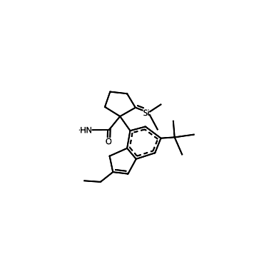 CCC1=Cc2cc(C(C)(C)C)cc(C3(C([NH])=O)CCCC3=[Si](C)C)c2C1